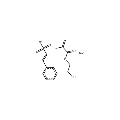 C=C(C)C(=O)OCCO.O=S(=O)([O-])C=Cc1ccccc1.[Na+]